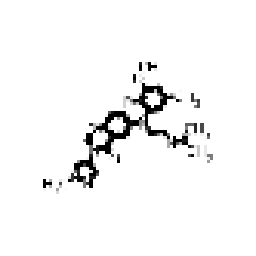 COc1cc(C)cc(N(CCNC(C)C)c2ccc3ncn(-c4cnn(C)c4)c(=O)c3c2)c1F